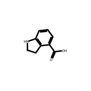 O=C(O)c1cccc2c1CCN2